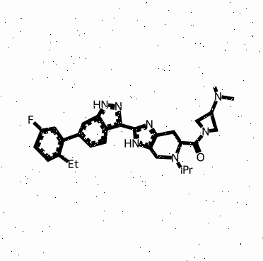 CCc1ccc(F)cc1-c1ccc2c(-c3nc4c([nH]3)CN(C(C)C)C(C(=O)N3CC(N(C)C)C3)C4)n[nH]c2c1